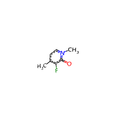 Cc1ccn(C)c(=O)c1F